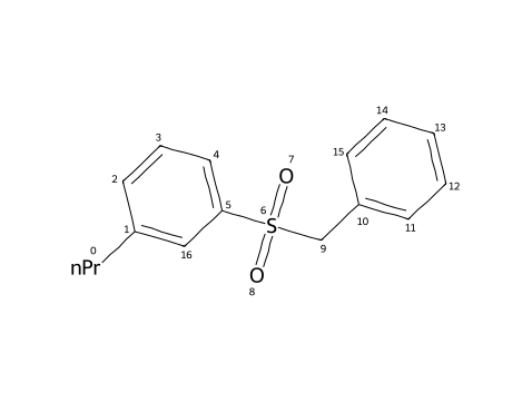 CCCc1cccc(S(=O)(=O)Cc2ccccc2)c1